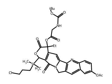 CCC1(OC(=O)CNC(=O)OC(C)(C)C)C(=O)OC([Si](C)(C)CCCCl)c2c1cc1n(c2=O)Cc2cc3cc(OC(C)=O)ccc3nc2-1